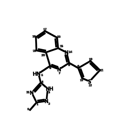 Cc1n[nH]c(Nc2nc(-c3ccsc3)nc3ccccc23)n1